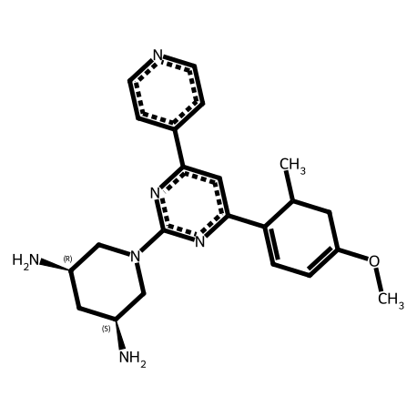 COC1=CC=C(c2cc(-c3ccncc3)nc(N3C[C@H](N)C[C@H](N)C3)n2)C(C)C1